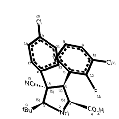 CC(C)(C)[C@@H]1N[C@H](C(=O)O)[C@H](c2cccc(Cl)c2F)[C@]1(C#N)c1ccc(Cl)cc1